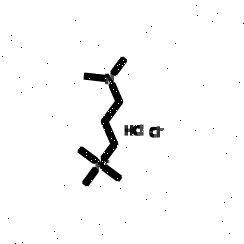 CN(C)CCC[N+](C)(C)C.Cl.[Cl-]